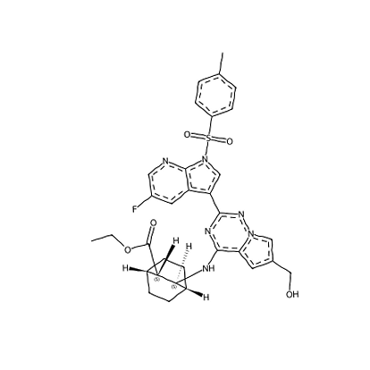 CCOC(=O)[C@H]1[C@H]2CC[C@H](CC2)[C@@H]1Nc1nc(-c2cn(S(=O)(=O)c3ccc(C)cc3)c3ncc(F)cc23)nn2cc(CO)cc12